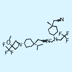 COC1(C(F)(F)F)CN([C@H]2CC[C@@](CC#[N+]CN(CC(F)(F)F)[C@H]3CC[C@@](C)(CC#N)CC3)(C(C)C)CC2)C1